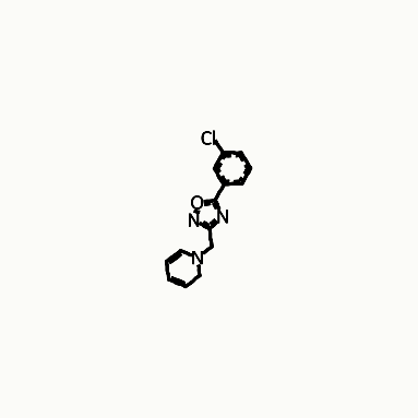 Clc1cccc(-c2nc(CN3C=CC=CC3)no2)c1